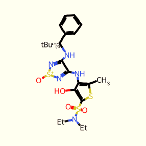 CCN(CC)S(=O)(=O)c1sc(C)c(Nc2n[s+]([O-])nc2N[C@@H](c2ccccc2)C(C)(C)C)c1O